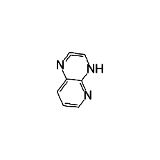 C1=CNc2ncccc2N=1